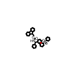 O=C(NC(c1ccccc1)c1ccc(OP(=O)(c2ccccc2)c2ccccc2)cc1)OCC1c2ccccc2-c2ccccc21